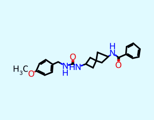 COc1ccc(CNC(=O)NC2CC3(C2)CC(NC(=O)c2ccccc2)C3)cc1